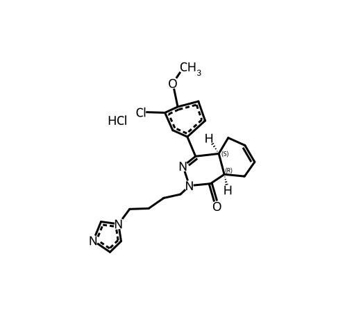 COc1ccc(C2=NN(CCCCn3ccnc3)C(=O)[C@@H]3CC=CC[C@H]23)cc1Cl.Cl